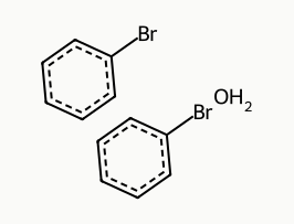 Brc1ccccc1.Brc1ccccc1.O